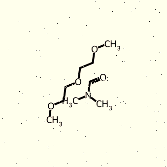 CN(C)C=O.COCCOCCOC